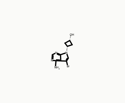 Nc1ncnc2c1c(Br)cn2[C@H]1C[C@@H](O)C1